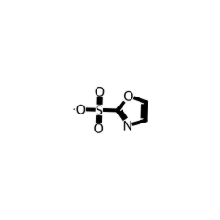 [O]S(=O)(=O)c1ncco1